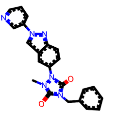 Cn1c(=O)n(Cc2ccccc2)c(=O)n1-c1ccc2nn(-c3cccnc3)cc2c1